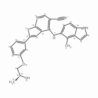 Cc1c(Nc2c(C#N)cnc3sc(-c4cccc(OC[C@H](C)O)c4)cc23)ccc2[nH]ccc12